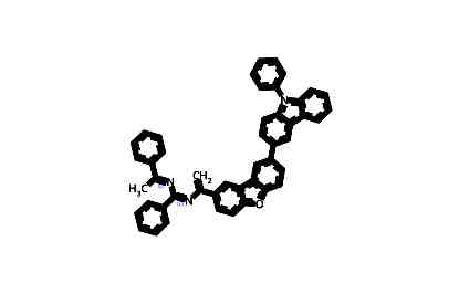 C=C(/N=C(\N=C(/C)c1ccccc1)c1ccccc1)c1ccc2oc3ccc(-c4ccc5c(c4)c4ccccc4n5-c4ccccc4)cc3c2c1